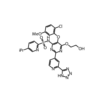 COc1ccc(Cl)c(Oc2c(NS(=O)(=O)c3ccc(C(C)C)cn3)nc(-c3ccnc(-c4nnn[nH]4)c3)nc2OCCO)c1